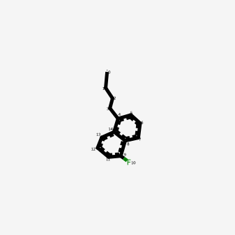 [CH2]CCCc1cccc2c(F)cccc12